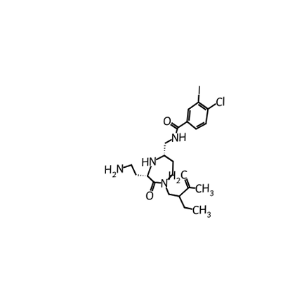 C=C(C)C(CC)CN1CC[C@@H](CNC(=O)c2ccc(Cl)c(I)c2)N[C@@H](CCN)C1=O